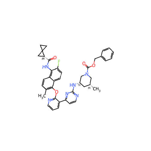 Cc1ccc2c(NC(=O)[C@@H]3CC34CC4)c(F)ccc2c1Oc1ncccc1-c1ccnc(N[C@H]2C[C@@H](C)CN(C(=O)OCc3ccccc3)C2)n1